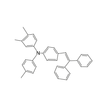 Cc1ccc(N(c2ccc(C=C(c3ccccc3)c3ccccc3)cc2)c2ccc(C)c(C)c2)cc1